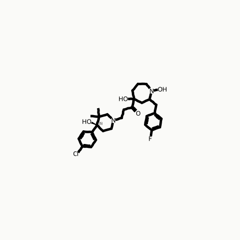 CC1(C)CN(CCC(=O)C2(O)CCCN(O)C(Cc3ccc(F)cc3)C2)CC[C@]1(O)c1ccc(Cl)cc1